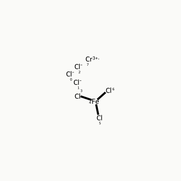 [Cl-].[Cl-].[Cl-].[Cl][Fe]([Cl])[Cl].[Cr+3]